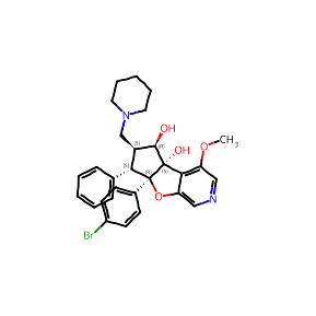 COc1cncc2c1[C@]1(O)[C@H](O)[C@H](CN3CCCCC3)[C@@H](c3ccccc3)[C@]1(c1ccc(Br)cc1)O2